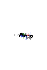 Cc1c[nH]c2c(-c3cc(F)c4c(c3Cl)C(C)C(OC(=O)NC3CCCCC3)C(C)(C)N4)cccc12